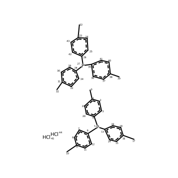 Cc1ccc(P(c2ccc(C)cc2)c2ccc(C)cc2)cc1.Cc1ccc(P(c2ccc(C)cc2)c2ccc(C)cc2)cc1.Cl.Cl